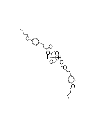 CCCCOc1ccc(/C=C/OCO[C@@H]2CO[C@H]3[C@@H]2OC[C@H]3OC(=O)/C=C/c2ccc(OCCCC)cc2)cc1